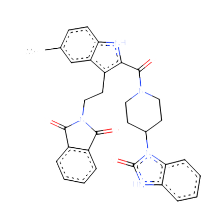 COc1ccc2[nH]c(C(=O)N3CCC(n4c(=O)[nH]c5ccccc54)CC3)c(CCN3C(=O)c4ccccc4C3=O)c2c1